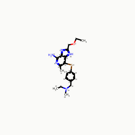 CCOCc1nc2c(N)nc(C)c(Sc3ccc(CN(C)CC)cc3)c2[nH]1